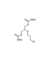 CNC(=O)OCC(COC(=O)NC)OCCCC(C)=O